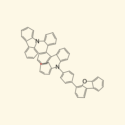 c1ccc(N(c2ccc(-c3cccc4c3oc3ccccc34)cc2)c2ccccc2-c2ccccc2-c2ccccc2-n2c3ccccc3c3ccccc32)cc1